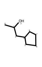 CC(O)CC1CCCC1